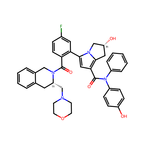 O=C(c1cc(-c2cc(F)ccc2C(=O)N2Cc3ccccc3C[C@H]2CN2CCOCC2)n2c1C[C@@H](O)C2)N(c1ccccc1)c1ccc(O)cc1